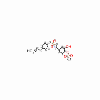 CCS(=O)(=O)Oc1ccc(/C=C/S(=O)(=O)Cc2ccc(CCS(=O)(=O)O)cc2)cc1O